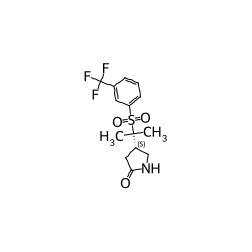 CC(C)([C@@H]1CNC(=O)C1)S(=O)(=O)c1cccc(C(F)(F)F)c1